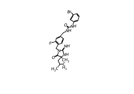 CC(C)CC1(C)NC(=N)N(Cc2ccc(CNC(=O)Nc3cccc(Br)c3)cc2F)C1=O